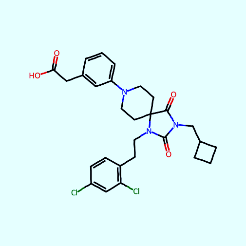 O=C(O)Cc1cccc(N2CCC3(CC2)C(=O)N(CC2CCC2)C(=O)N3CCc2ccc(Cl)cc2Cl)c1